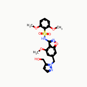 COc1cccc(OC)c1S(=O)(=O)Nc1noc2cc(Cn3nccc3CO)cc(OC)c12